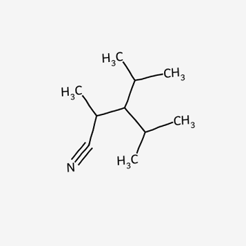 CC(C)C(C(C)C)C(C)C#N